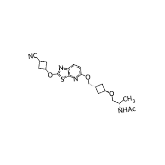 CC(=O)N[C@@H](C)CO[C@H]1C[C@H](COc2ccc3nc(OC4CC(C#N)C4)sc3n2)C1